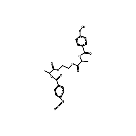 CC(OC(=O)c1ccc(N=C=O)cc1)C(=O)OCCOC(=O)C(C)OC(=O)c1ccc(OC#N)cc1